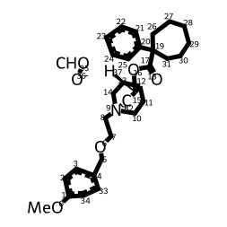 COc1ccc(COCC[N+]23CCC(CC2)[C@@H](OC(=O)C2(c4ccccc4)CCCCCC2)C3)cc1.O=C[O-]